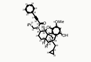 COc1cc(O)c2c3c1O[C@H]1[C@H](N(CC(C)C)C(=O)C#Cc4ccccc4)CC[C@H]4[C@@H](C2)N(CC2CC2)CC[C@@]341